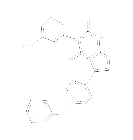 COc1cccc(-n2c(=O)[nH]c3scc(-c4ccc(Oc5ccccc5)cc4)c3c2=O)c1